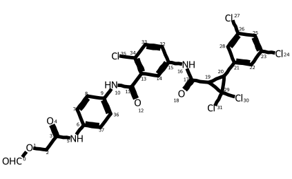 O=COCC(=O)Nc1ccc(NC(=O)c2cc(NC(=O)C3C(c4cc(Cl)cc(Cl)c4)C3(Cl)Cl)ccc2Cl)cc1